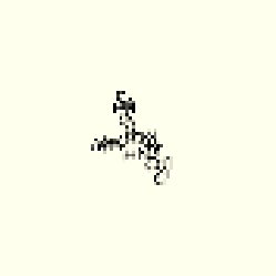 COc1cc2c(Nc3ccc(Cl)c(Cl)c3F)ncnc2cc1OC[C@@H]1CN2CCOC[C@H]2CO1.Cl